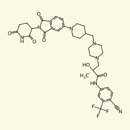 C[C@](O)(CN1CCN(CC2CCN(c3ccc4c(c3)C(=O)N(C3CCC(=O)NC3=O)C4=O)CC2)CC1)C(=O)Nc1ccc(C#N)c(C(F)(F)F)c1